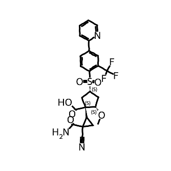 CO[C@H]1C[C@@H](S(=O)(=O)c2ccc(-c3ccccn3)cc2C(F)(F)F)C[C@]1(C(=O)O)C1CC1(C#N)C(N)=O